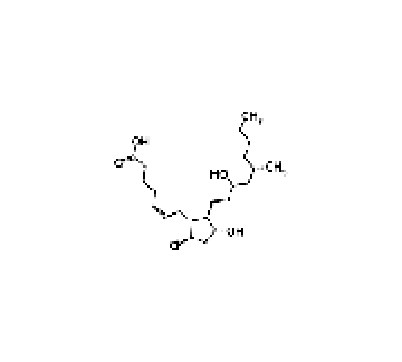 CCCC[C@H](C)C[C@H](O)/C=C/[C@@H]1[C@@H](C/C=C\CCCC(=O)O)[C@H](Cl)C[C@H]1O